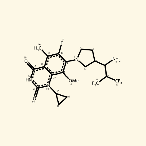 COc1c(N2CCC(C(N)C(C(F)(F)F)C(F)(F)F)C2)c(F)c(C)c2c(=O)[nH]c(=O)n(C3CC3)c12